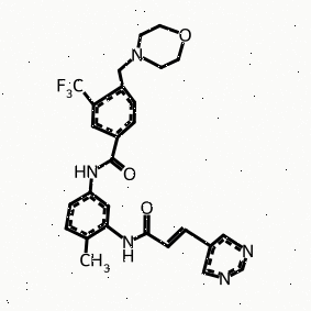 Cc1ccc(NC(=O)c2ccc(CN3CCOCC3)c(C(F)(F)F)c2)cc1NC(=O)C=Cc1cncnc1